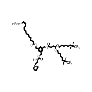 CCCCC/C=C\C/C=C\CCCCCCCC(=O)OCc1cc(COC(=O)CCC(OCCCCCCC(F)(F)C(F)(F)F)OCCCCCCC(F)(F)C(F)(F)F)cc(COC(=O)NCCN2CCCC2)c1